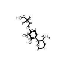 CC1CCCN=C1c1ccc(OCC(F)(F)CO)c(Cl)c1O